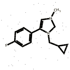 CN1C=C(c2ccc(F)cc2)N(CC2CC2)C1